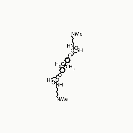 CNCCCCCNC(=O)OC(CS)COc1ccc(C(C)(C)c2ccc(OCC(CS)OC(=O)NCCCCNC)cc2)cc1